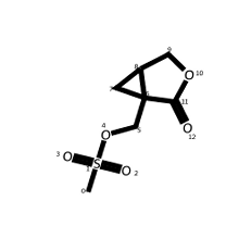 CS(=O)(=O)OCC12CC1COC2=O